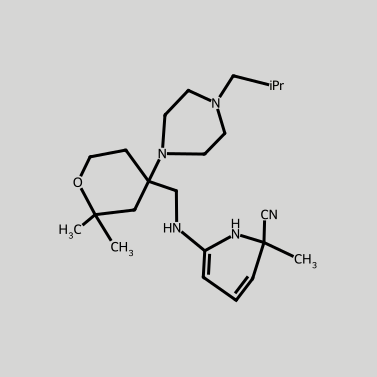 CC(C)CN1CCN(C2(CNC3=CC=CC(C)(C#N)N3)CCOC(C)(C)C2)CC1